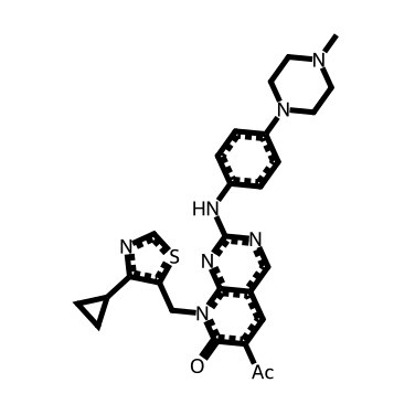 CC(=O)c1cc2cnc(Nc3ccc(N4CCN(C)CC4)cc3)nc2n(Cc2scnc2C2CC2)c1=O